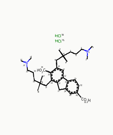 CN(C)CCCC(C)(C)Cc1cc2c(c(CC(C)(C)CCCN(C)C)c1C(=O)O)Cc1cc(C(=O)O)ccc1-2.Cl.Cl